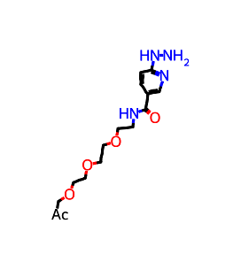 CC(=O)COCCOCCOCCNC(=O)c1ccc(NN)nc1